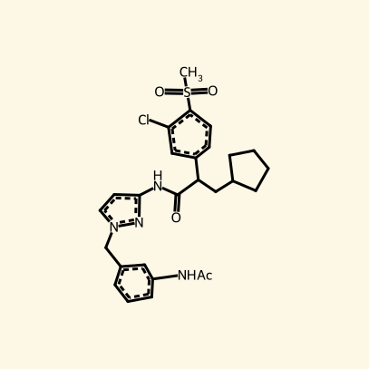 CC(=O)Nc1cccc(Cn2ccc(NC(=O)C(CC3CCCC3)c3ccc(S(C)(=O)=O)c(Cl)c3)n2)c1